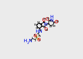 NCCS(=O)(=O)CCNc1cccc2c1C(=O)N(C1CCC(=O)NC1=O)C2=O